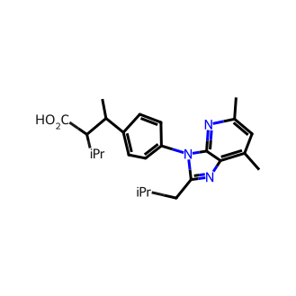 Cc1cc(C)c2nc(CC(C)C)n(-c3ccc(C(C)C(C(=O)O)C(C)C)cc3)c2n1